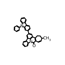 CC1C=Cc2c(c3cc(-c4ccc5c6ccccc6n(-c6ccccc6)c5c4)cc4c5ccccc5n(c2=O)c34)CC1